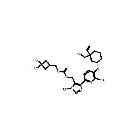 Cc1nc(-c2nnn(C)c2CNC(=O)OCC2CC(C)(C)C2)ccc1O[C@H]1CCCC(C=O)(CO)C1